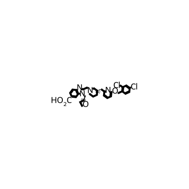 O=C(O)c1ccc2nc(CN3CCC[C@@H](Cc4cccc(OCc5ccc(Cl)cc5Cl)n4)C3)n(C[C@@H]3CCO3)c2c1